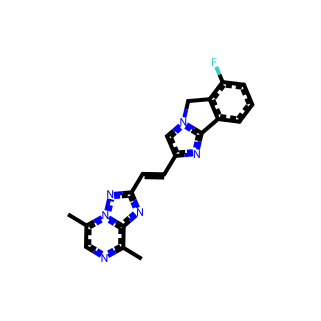 Cc1ncc(C)n2nc(/C=C/c3cn4c(n3)-c3cccc(F)c3C4)nc12